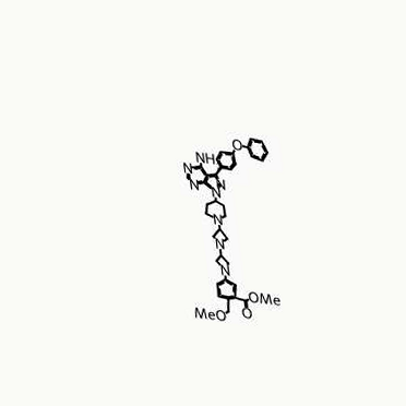 COCc1ccc(N2CC(N3CC(N4CCC(n5nc(-c6ccc(Oc7ccccc7)cc6)c6c(N)ncnc65)CC4)C3)C2)cc1C(=O)OC